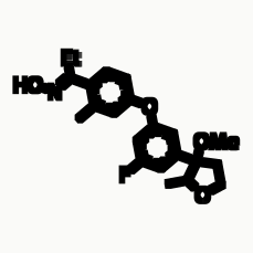 CCC(=NO)c1ccc(Oc2cc(F)cc(C3(OC)CCOC3C)c2)cc1C